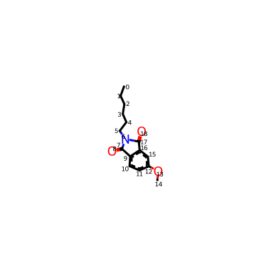 CCCCCCN1C(=O)c2ccc(OC)cc2C1=O